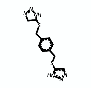 c1cc(CSC2CN=NN2)ccc1CSc1cnn[nH]1